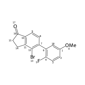 COc1ccc(F)c(-c2ccc3c(c2Br)CCC3=O)c1